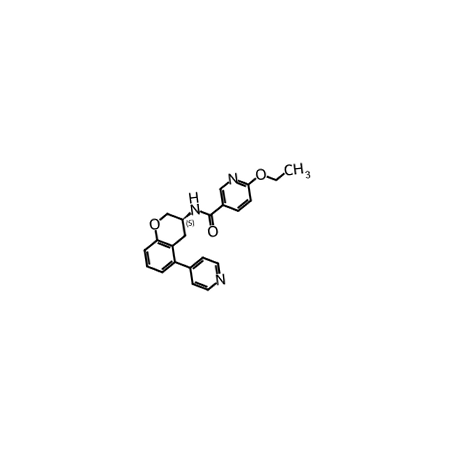 CCOc1ccc(C(=O)N[C@@H]2COc3cccc(-c4ccncc4)c3C2)cn1